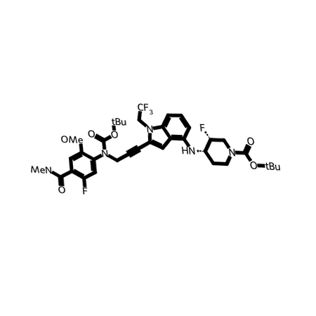 CNC(=O)c1cc(OC)c(N(CC#Cc2cc3c(N[C@H]4CCN(C(=O)OC(C)(C)C)C[C@H]4F)cccc3n2CC(F)(F)F)C(=O)OC(C)(C)C)cc1F